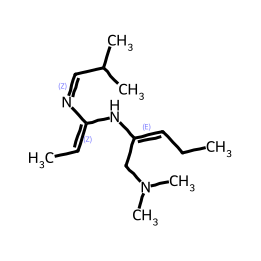 C/C=C(\N=C/C(C)C)N/C(=C/CC)CN(C)C